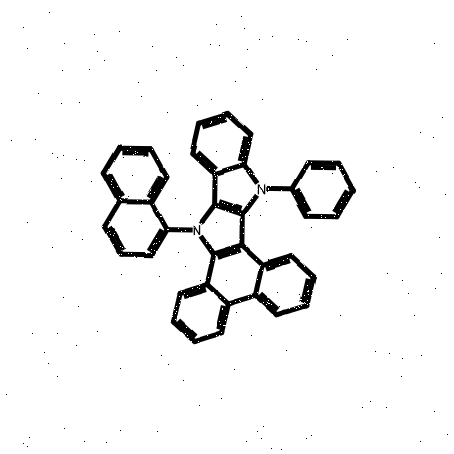 c1ccc(-n2c3ccccc3c3c2c2c4ccccc4c4ccccc4c2n3-c2cccc3ccccc23)cc1